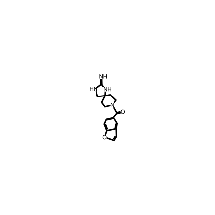 N=C1NCC2(CCN(C(=O)c3ccc4occc4c3)CC2)N1